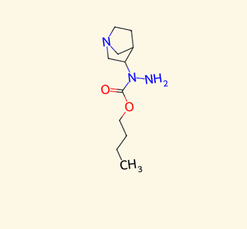 CCCCOC(=O)N(N)C1CN2CCC1C2